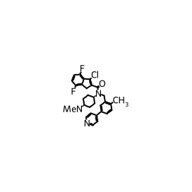 CN[C@H]1CC[C@@H](N(Cc2cc(-c3ccncc3)ccc2C)C(=O)C2=C(Cl)c3c(F)ccc(F)c3C2)CC1